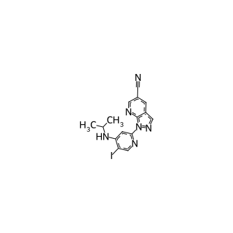 CC(C)Nc1cc(-n2ncc3cc(C#N)cnc32)ncc1I